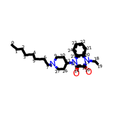 CCCCCCCCN1CCC(n2c(=O)c(=O)n(CC)c3ccccc32)CC1